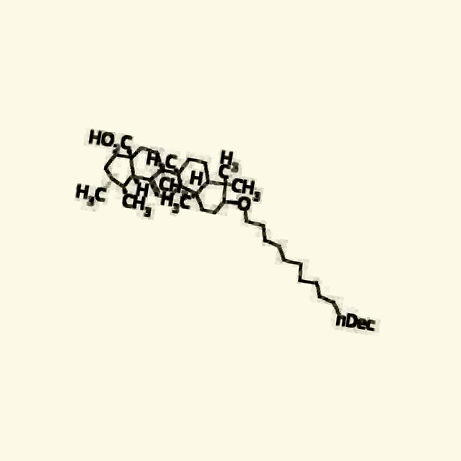 CCCCCCCCCCCCCCCCCCCCO[C@H]1CC[C@@]2(C)C(CC[C@]3(C)[C@@H]2CC=C2[C@@H]4[C@@H](C)[C@H](C)CC[C@]4(C(=O)O)CC[C@]23C)C1(C)C